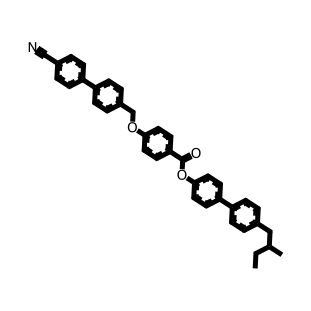 CCC(C)Cc1ccc(-c2ccc(OC(=O)c3ccc(OCc4ccc(-c5ccc(C#N)cc5)cc4)cc3)cc2)cc1